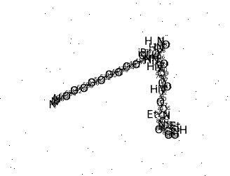 CCc1c2c(nc3ccc(OCCCNC(=O)OCc4ccc(NC(=O)[C@H](CCCNC(N)=O)NC(=O)[C@@H](NC(=O)CCOCCOCCOCCOCCOCCOCCOCCOCCOCCN=[N+]=[N-])C(C)C)cc4)cc13)-c1cc3c(c(=O)n1C2)COC(=O)[C@]3(O)CC